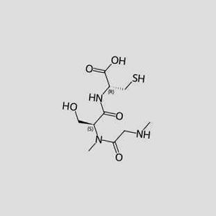 CNCC(=O)N(C)[C@@H](CO)C(=O)N[C@@H](CS)C(=O)O